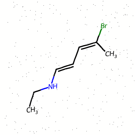 CCN/C=C/C=C(\C)Br